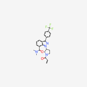 C=CC(=O)N1CCC(n2nc(-c3ccc(C(F)(F)F)cc3)c3cccc(C(=O)N(C)C)c32)C1